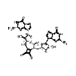 C[C@H]1[C@@H](O)[C@H](n2cnc3c(=O)[nH]c(N)nc32)O[C@@H]1CNc1c(N[C@H]2[C@@H](O)[C@H](n3cnc4c(=O)[nH]c(N)nc43)O[C@@H]2CO)c(=O)c1=O